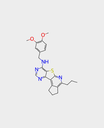 CCCc1nc2sc3c(NCc4ccc(OC)c(OC)c4)ncnc3c2c2c1CCC2